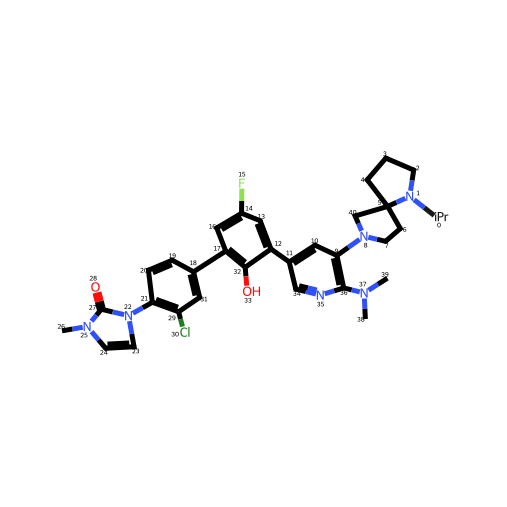 CC(C)N1CCCC12CCN(c1cc(-c3cc(F)cc(-c4ccc(-n5ccn(C)c5=O)c(Cl)c4)c3O)cnc1N(C)C)C2